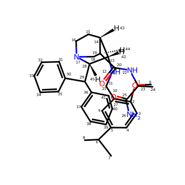 COc1ccc(C(C)C)cc1CN[C@H]1[C@H]2CCN(C[C@@H]2C(=O)NC(C)C(N)=O)[C@H]1C(c1ccccc1)c1ccccc1